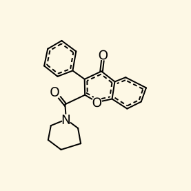 O=C(c1oc2ccccc2c(=O)c1-c1ccccc1)N1CCCCC1